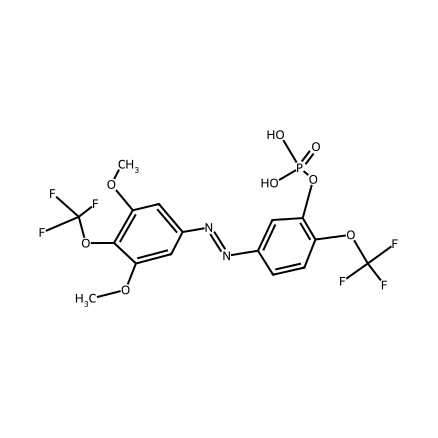 COc1cc(/N=N/c2ccc(OC(F)(F)F)c(OP(=O)(O)O)c2)cc(OC)c1OC(F)(F)F